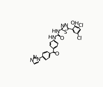 O=C(Nc1ccc(C(=O)c2ccc(-n3ccnn3)cc2)cc1)Nc1nnc(-c2cc(Cl)cc(Cl)c2O)s1